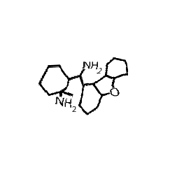 CC1(N)CCCCC1C(N)C1CCCC2OC3CCCCC3C21